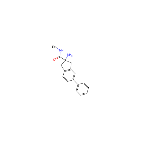 CC(C)NC(=O)C1(N)Cc2ccc(-c3ccccc3)cc2C1